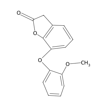 COc1ccccc1Oc1cccc2c1OC(=O)C2